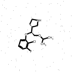 CC(C)OC[C@@H](Oc1cccc(F)c1Cl)[C@@H]1CCNC1